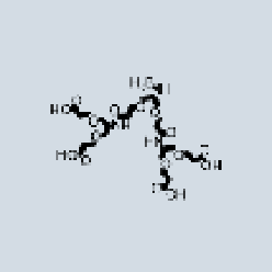 BNC(COCCC(=O)NC(COCCC(=O)O)COCCC(=O)O)COCCC(=O)NC(COCCC(=O)O)COCCC(=O)O